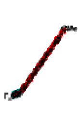 COCCOCCOCCOCCOCCOCCOCCOCCOCCOCCOCCOCCOCCOCCOCCOCCOCCOCCOCCOCCOCCOCCOCCCOCC(F)(F)C(F)(F)C(F)(F)C(F)(F)C(F)(F)C(F)(F)C(F)(F)C(F)(F)F